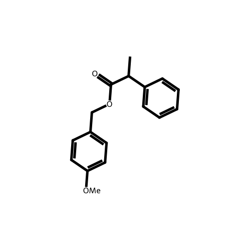 COc1ccc(COC(=O)C(C)c2ccccc2)cc1